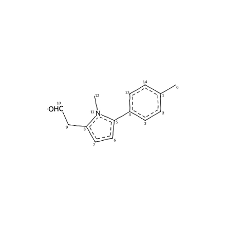 Cc1ccc(-c2ccc(C[C]=O)n2C)cc1